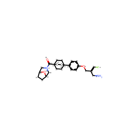 NCC(=CF)COc1ccc(C23CCC(C(=O)N4CC5CCC(C4)O5)(CC2)CC3)cc1